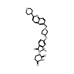 C[C@@H]1c2cc(O[C@H]3CCN(Cc4ccc5nc(C6CCOCC6)ccc5c4)C3)ccc2C(=O)N1[C@H]1CCC(=O)NC1=O